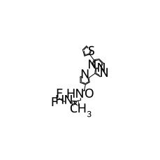 C[C@H](CNC(=O)c1ccnc(-c2cnn3ccc(-c4cccs4)nc23)c1)NCC(F)F